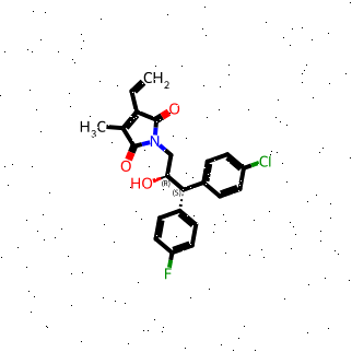 C=CC1=C(C)C(=O)N(C[C@H](O)[C@@H](c2ccc(F)cc2)c2ccc(Cl)cc2)C1=O